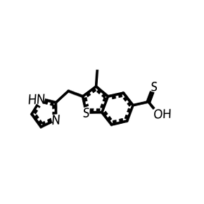 Cc1c(Cc2ncc[nH]2)sc2ccc(C(O)=S)cc12